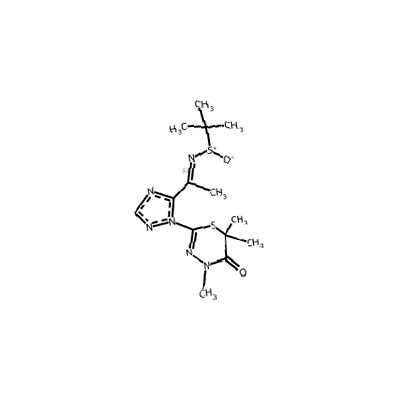 C/C(=N\[S+]([O-])C(C)(C)C)c1ncnn1C1=NN(C)C(=O)C(C)(C)S1